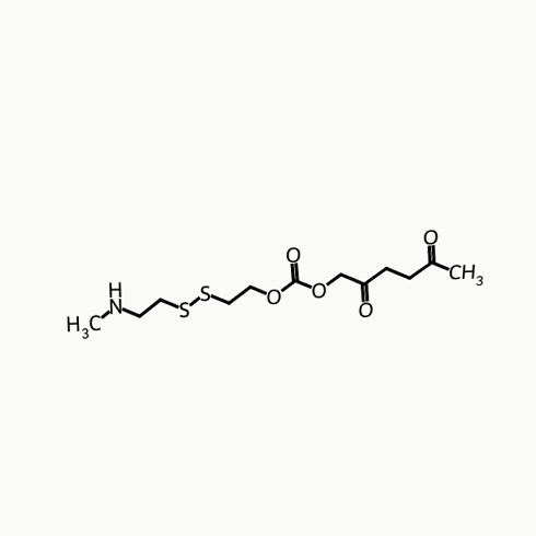 CNCCSSCCOC(=O)OCC(=O)CCC(C)=O